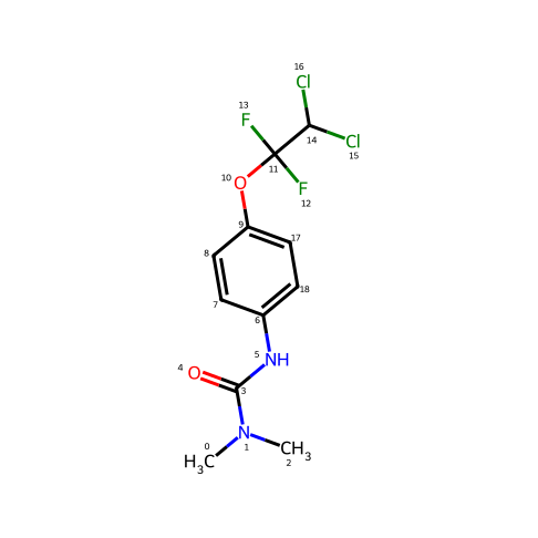 CN(C)C(=O)Nc1ccc(OC(F)(F)C(Cl)Cl)cc1